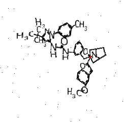 COc1ccc2oc(C(=O)N3C4CCC3CC(Cc3cccc(NC(=O)Nc5cc(C(C)(C)C)nn5-c5ccc(C)cc5)c3)C4)cc2c1